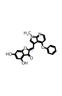 Cn1cc(/C=C2\Oc3cc(O)cc(O)c3C2=O)c2c(Oc3ccccc3)ccnc21